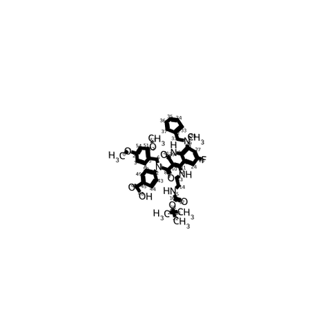 COc1ccc(CN(C(=O)c2c(NCCNC(=O)OC(C)(C)C)c3cc(F)cc(N(C)Cc4ccccc4)c3[nH]c2=O)c2ccc(C(=O)O)cc2)c(OC)c1